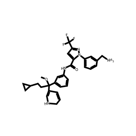 COC(CCC1CC1)(C1=CNCC=C1)c1cccc(NC(=O)c2cc(C(F)(F)F)nn2-c2cccc(CN)c2)c1